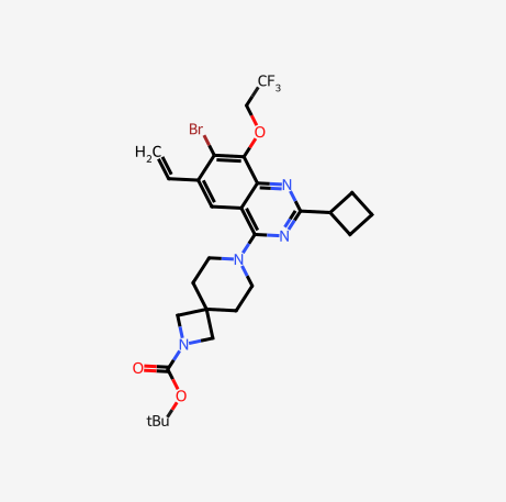 C=Cc1cc2c(N3CCC4(CC3)CN(C(=O)OC(C)(C)C)C4)nc(C3CCC3)nc2c(OCC(F)(F)F)c1Br